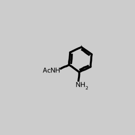 CC(=O)Nc1c[c]ccc1N